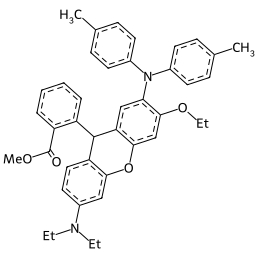 CCOc1cc2c(cc1N(c1ccc(C)cc1)c1ccc(C)cc1)C(c1ccccc1C(=O)OC)c1ccc(N(CC)CC)cc1O2